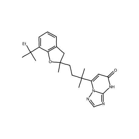 CCC(C)(C)c1cccc2c1OC(C)(CCC(C)(C)c1cc(=O)[nH]c3ncnn13)C2